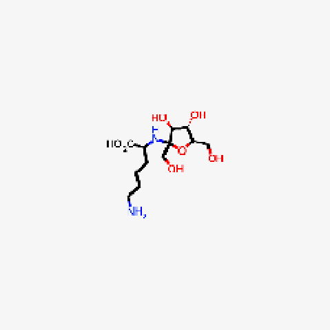 NCCCC[C@H](NC1(CO)O[C@H](CO)[C@@H](O)[C@@H]1O)C(=O)O